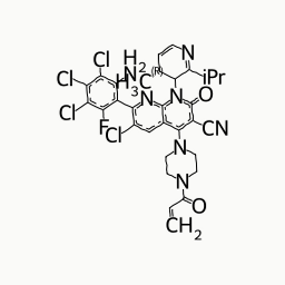 C=CC(=O)N1CCN(c2c(C#N)c(=O)n(C3C(C(C)C)=NC=C[C@H]3C)c3nc(-c4c(N)c(Cl)c(Cl)c(Cl)c4F)c(Cl)cc23)CC1